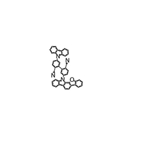 N#Cc1ccc(-n2c3ccccc3c3ccccc32)cc1-c1cc(-n2c3ccccc3c3ccc4c5ccccc5oc4c32)ccc1C#N